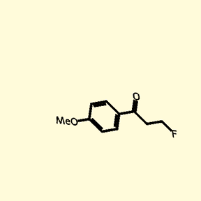 COc1ccc(C(=O)CCF)cc1